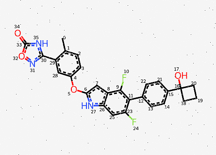 Cc1ccc(Oc2cc3c(F)c(-c4ccc(C5(O)CCC5)cc4)c(F)cc3[nH]2)cc1-c1noc(=O)[nH]1